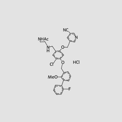 COc1c(COc2cc(OCc3cncc(C#N)c3)c(CNCCNC(C)=O)cc2Cl)cccc1-c1ccccc1F.Cl